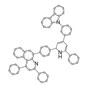 C1=C(c2cccc(-n3c4ccccc4c4ccccc43)c2)C=C(c2ccccc2)NC1c1ccc(-c2cc3ccccc3c3c(-c4ccccc4)cc(-c4ccccc4)nc23)cc1